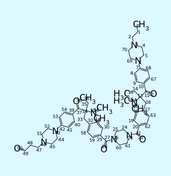 CCCN1CCN(c2ccc(C(=O)C(CC)(Cc3ccc(C(=O)N4CCN(C(=O)c5ccc(CC(CC)(C(=O)c6ccc(N7CCN(CCC=O)CC7)cc6)N(C)C)cc5)CC4)cc3)N(C)C)cc2)CC1